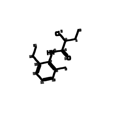 [CH2]CC(Cl)C(=O)Nc1c(C)cccc1CC